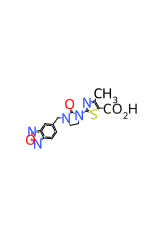 Cc1nc(N2CCN(Cc3ccc4nonc4c3)C2=O)sc1C(=O)O